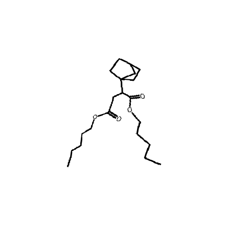 CCCCCOC(=O)CC(C(=O)OCCCCC)C12CCC(CC1)C2